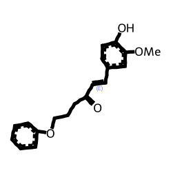 COc1cc(/C=C/C(=O)CCCOc2ccccc2)ccc1O